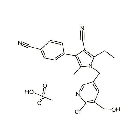 CCc1c(C#N)c(-c2ccc(C#N)cc2)c(C)n1Cc1cnc(Cl)c(CO)c1.CS(=O)(=O)O